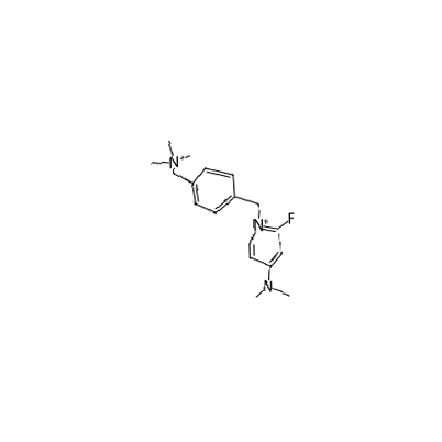 CN(C)c1cc[n+](Cc2ccc(C[N+](C)(C)C)cc2)c(F)c1